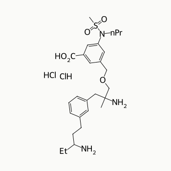 CCCN(c1cc(COCC(C)(N)Cc2cccc(CCC(N)CC)c2)cc(C(=O)O)c1)S(C)(=O)=O.Cl.Cl